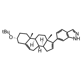 CC(C)(C)O[C@@H]1CC[C@@]2(C)C(=CC[C@@H]3[C@@H]2CC[C@]2(C)C(c4ccc5cn[nH]c5c4)=CC[C@@H]32)C1